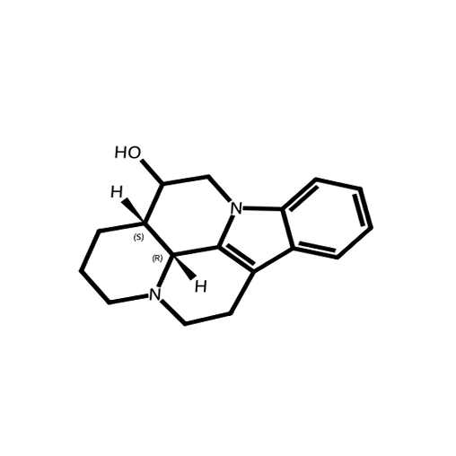 OC1Cn2c3c(c4ccccc42)CCN2CCC[C@H]1[C@H]32